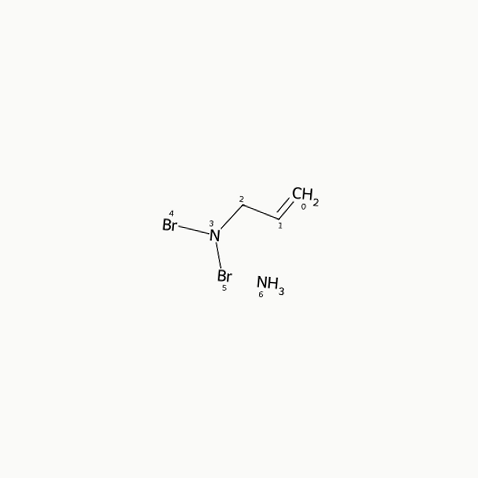 C=CCN(Br)Br.N